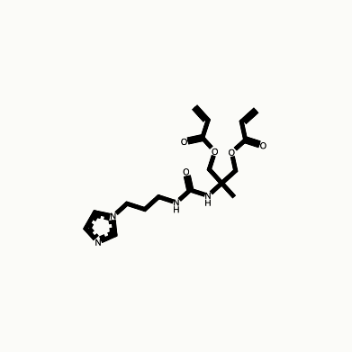 C=CC(=O)OCC(C)(COC(=O)C=C)NC(=O)NCCCn1ccnc1